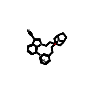 COc1cccc2c(C#N)cn(CCCN3C4CCC3CC(CCc3ccccc3)C4)c12